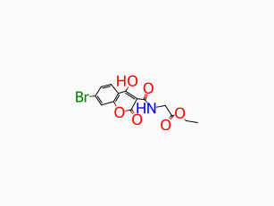 CCOC(=O)CNC(=O)c1c(O)c2ccc(Br)cc2oc1=O